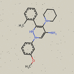 COc1cccc(N2C=C(N)C(N3CCCCC3)=C(c3ccccc3C)N2)c1